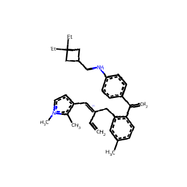 C=C/C(=C\c1ccn(C)c1C)Cc1cc(C)ccc1C(=C)c1ccc(NCC2CC(CC)(CC)C2)cc1